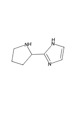 c1c[nH]c(C2CCCN2)n1